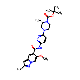 COc1cn2nc(C)cc2cc1C(=O)Nc1ccc(N2CCN(C(=O)OC(C)(C)C)[C@@H](C)C2)nn1